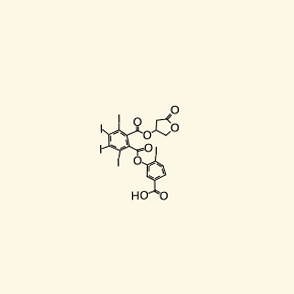 O=C1CC(OC(=O)c2c(I)c(I)c(I)c(I)c2C(=O)Oc2cc(C(=O)O)ccc2I)CO1